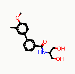 COc1ccc(-c2cccc(C(=O)NC(CO)CO)c2)cc1C